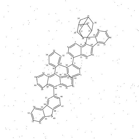 c1ccc(-c2cccc3c4c(ccc23)-c2ccccc2C42C3CC4CC(C3)CC2C4)c(-c2ccccc2-c2c3ccccc3c(-c3ccc4sc5ccccc5c4c3)c3ccccc23)c1